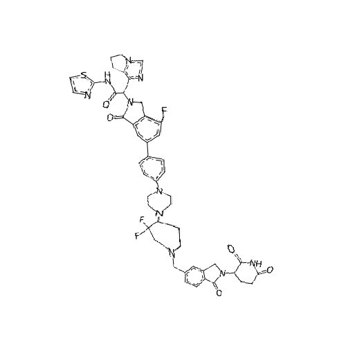 O=C1CCC(N2Cc3cc(CN4CCC(N5CCN(c6ccc(-c7cc(F)c8c(c7)C(=O)N(C(C(=O)Nc7nccs7)c7ncn9c7CCC9)C8)cc6)CC5)C(F)(F)C4)ccc3C2=O)C(=O)N1